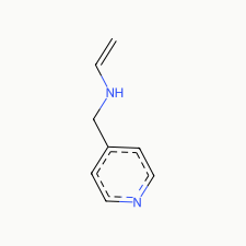 C=CNCc1ccncc1